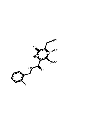 COc1c(C(=O)NCc2ccccc2F)[nH]c(=O)c(CC(C)C)[n+]1[O-]